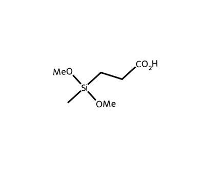 CO[Si](C)(CCC(=O)O)OC